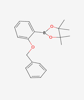 CC1(C)OB(c2ccccc2OCc2ccccc2)OC1(C)C